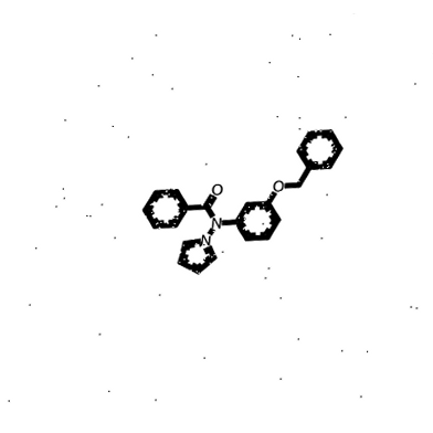 O=C(c1ccccc1)N(c1cccc(OCc2ccccc2)c1)n1cccc1